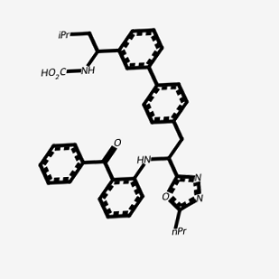 CCCc1nnc(C(Cc2ccc(-c3cccc(C(CC(C)C)NC(=O)O)c3)cc2)Nc2ccccc2C(=O)c2ccccc2)o1